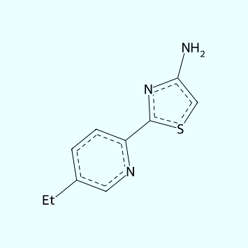 CCc1ccc(-c2nc(N)cs2)nc1